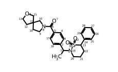 CC(c1ccc(C(=O)N2CCC3(CCOC3)C2)cc1)N1CCCC(c2ccccc2)S1(=O)=O